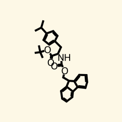 CC(C)c1ccc(CC(NC(=O)OCC2c3ccccc3-c3ccccc32)C(=O)OC(C)(C)C)cc1